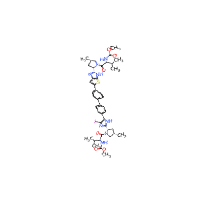 COC(=O)N[C@H](C(=O)N1C[C@@H](C)C[C@H]1c1nc(I)c(-c2ccc(-c3ccc(-c4cc5nc([C@@H]6C[C@H](C)CN6C(=O)[C@@H](NC(=O)OC)C(C)C)[nH]c5s4)cc3)cc2)[nH]1)C(C)C